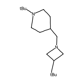 CC(C)(C)C1CN(CC2CCN(C(C)(C)C)CC2)C1